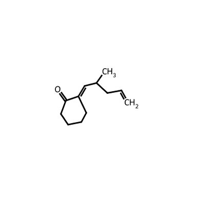 C=CCC(C)/C=C1\CCCCC1=O